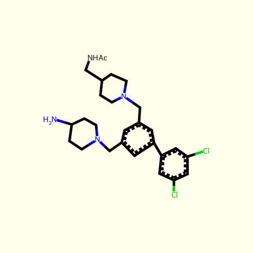 CC(=O)NCC1CCN(Cc2cc(CN3CCC(N)CC3)cc(-c3cc(Cl)cc(Cl)c3)c2)CC1